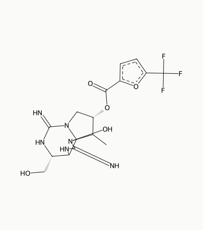 CC1[C@@H](OC(=O)c2ccc(C(F)(F)F)o2)CN2C(=N)N[C@@H](CO)C3NC(=N)N(O)C312